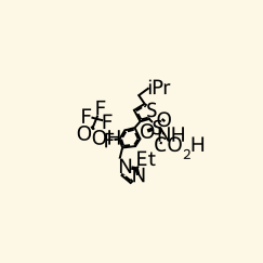 CCc1nccn1Cc1ccc(-c2cc(CC(C)C)sc2S(=O)(=O)NC(=O)O)cc1F.O=C(O)C(F)(F)F